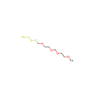 SSSSCOCCOCOCC[O][La]